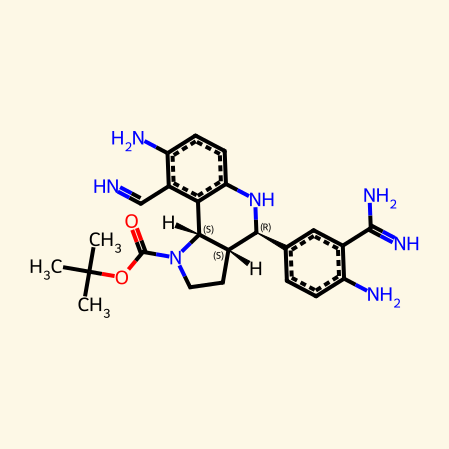 CC(C)(C)OC(=O)N1CC[C@@H]2[C@H]1c1c(ccc(N)c1C=N)N[C@H]2c1ccc(N)c(C(=N)N)c1